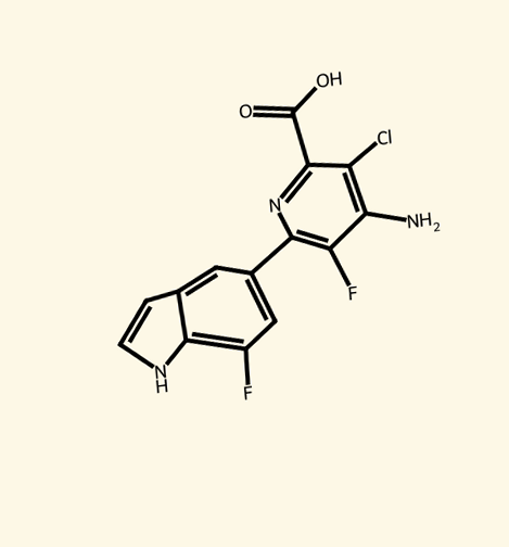 Nc1c(F)c(-c2cc(F)c3[nH]ccc3c2)nc(C(=O)O)c1Cl